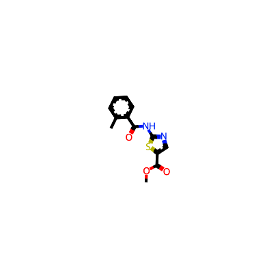 COC(=O)c1cnc(NC(=O)c2ccccc2C)s1